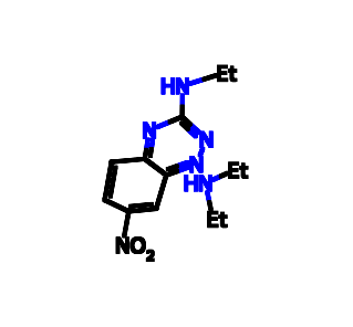 CCNCC.CCNc1nnc2cc([N+](=O)[O-])ccc2n1